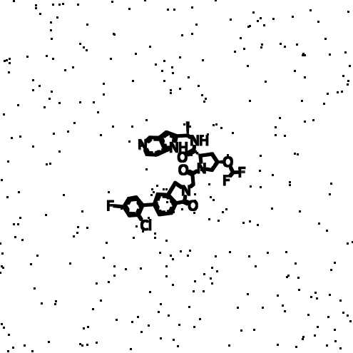 C[C@@H](NC(=O)[C@@H]1C[C@@H](OC(F)F)CN1C(=O)CN1Cc2cc(-c3ccc(F)cc3Cl)ccc2C1=O)c1cc2cnccc2[nH]1